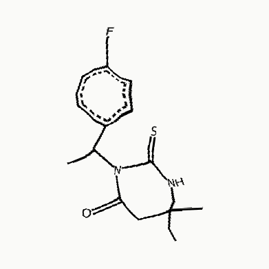 CC(c1ccc(F)cc1)N1C(=O)CC(C)(C)NC1=S